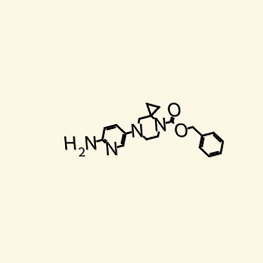 Nc1ccc(N2CCN(C(=O)OCc3ccccc3)C3(CC3)C2)cn1